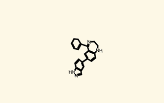 C1=CCCC(C2=NCCNc3ccc(-c4ccc5[nH]ncc5c4)cc32)=C1